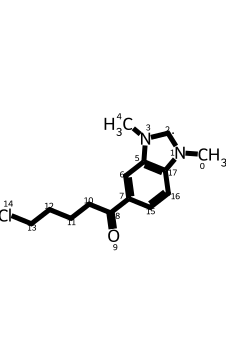 CN1[CH]N(C)c2cc(C(=O)CCCCCl)ccc21